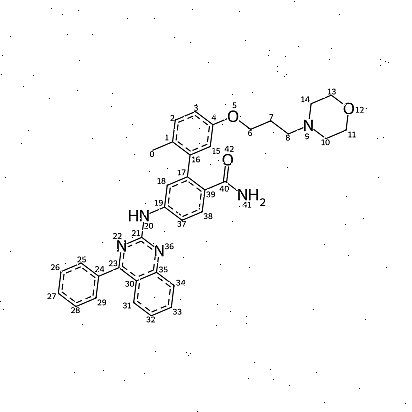 Cc1ccc(OCCCN2CCOCC2)cc1-c1cc(Nc2nc(-c3ccccc3)c3ccccc3n2)ccc1C(N)=O